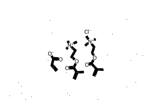 C=C(C)C(=O)OCC[N+](C)(C)C.C=C(C)C(=O)OCC[N+](C)(C)C.C=CC(=O)[O-].[Cl-]